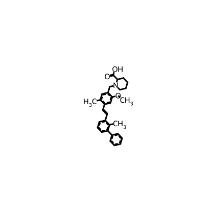 COc1cc(C=Cc2cccc(-c3ccccc3)c2C)c(C)cc1CN1CCCCC1C(=O)O